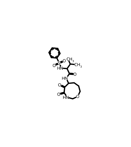 CC(C)C(NS(=O)(=O)c1ccccc1)C(=O)NC1CCCOCNC(=O)C1=O